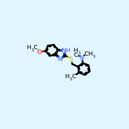 COc1ccc2[nH]c(SCc3c(C)cccc3N(C)C)nc2c1